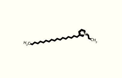 CCCCCCCCCCCCCCCCCCc1ccc[n+](CCC)c1